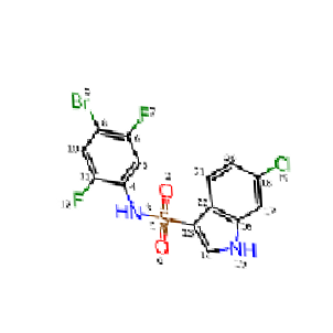 O=S(=O)(Nc1cc(F)c(Br)cc1F)c1c[nH]c2cc(Cl)ccc12